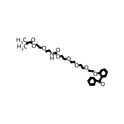 C=C(C)C(=O)OCCOCCNC(=O)OCCOCCOCCOCCOc1ccccc1C(=O)c1ccccc1